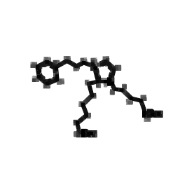 CCCCCCCCCCCCCCCc1n(CCCCCCCCCCCCCC)cc[n+]1CCCc1ccccc1